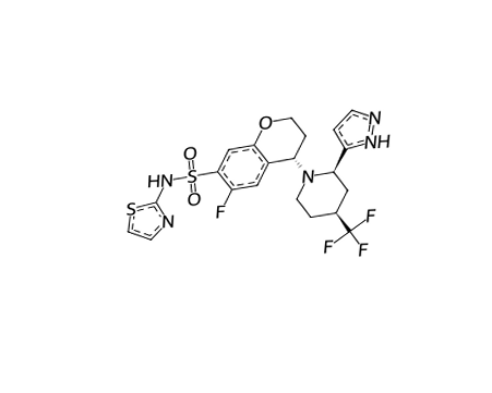 O=S(=O)(Nc1nccs1)c1cc2c(cc1F)[C@@H](N1CC[C@H](C(F)(F)F)C[C@@H]1c1ccn[nH]1)CCO2